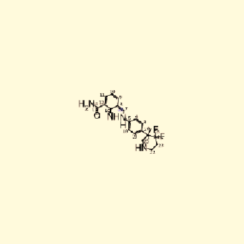 CC1(c2ccc(N/C=C3/C=CC=C(C(N)=O)C3=N)cc2)CNCCC1(F)F